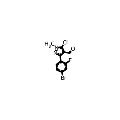 Cn1nc(-c2ccc(Br)cc2F)c(C=O)c1Cl